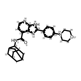 O=C(NC1C2CC3CC(C2)CC1C3)c1ccnc2[nH]c(-c3ccc(N4CCOCC4)cc3)nc12